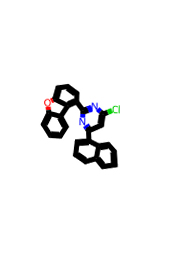 Clc1cc(-c2cccc3ccccc23)nc(-c2cccc3oc4ccccc4c23)n1